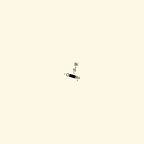 [Bi].[O]=[Ru].[Tl]